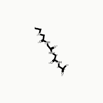 CCOCC(=O)NCC(=O)NCC(=O)NCC(=O)I